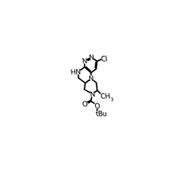 CC1CN2c3cc(Cl)nnc3NCC2CN1C(=O)OC(C)(C)C